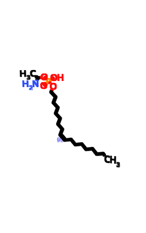 CCCCCCCC/C=C\CCCCCCCCOP(=O)(O)OC(C)N